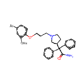 COc1cc(C(C)=O)ccc1OCCCN1CCC(C(C(N)=O)(c2ccccc2)c2ccccc2)C1